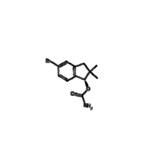 CC1(C)Cc2cc(Br)ccc2[C@@H]1OC(N)=O